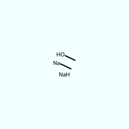 CO.[CH3][Na].[NaH]